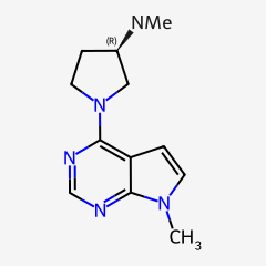 CN[C@@H]1CCN(c2ncnc3c2ccn3C)C1